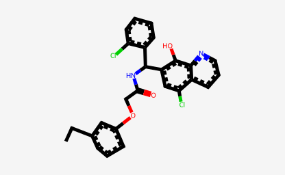 CCc1cccc(OCC(=O)NC(c2ccccc2Cl)c2cc(Cl)c3cccnc3c2O)c1